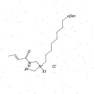 CC=CC(=O)NC[N+](CC)(CCCCCCCCCCCCCCCCCC)CC(C)C.[Cl-]